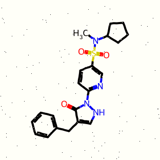 CN(C1CCCC1)S(=O)(=O)c1ccc(-n2[nH]cc(Cc3ccccc3)c2=O)nc1